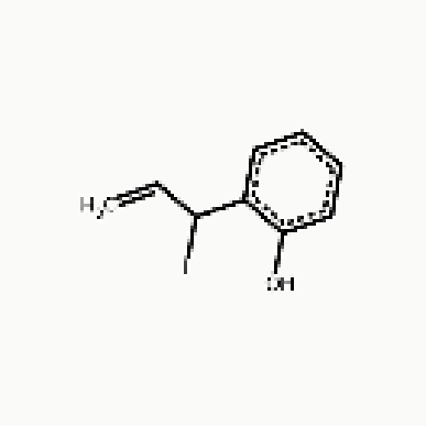 C=CC(I)c1ccccc1O